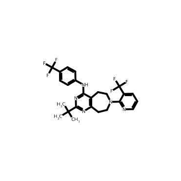 CC(C)(C)c1nc2c(c(Nc3ccc(C(F)(F)F)cc3)n1)CCN(c1ncccc1C(F)(F)F)CC2